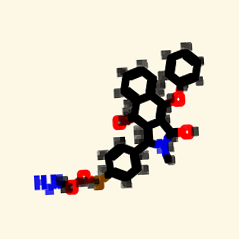 CN1C(=O)C2=C(Oc3ccccc3)c3ccccc3C(=O)C2=C1c1ccc(SOON)cc1